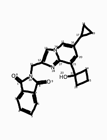 O=C1c2ccccc2C(=O)N1Cc1cn2cc(C3CC3)cc(C3(O)CCC3)c2n1